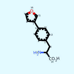 NC(Cc1ccc(-c2ccoc2)cc1)C(=O)O